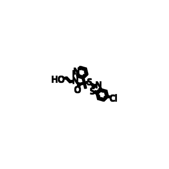 CC(Sc1nc2cc(Cl)ccc2s1)(C(=O)NCCO)c1cccnc1